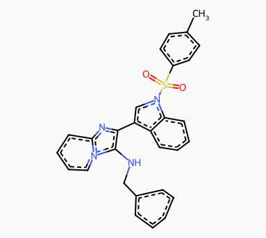 Cc1ccc(S(=O)(=O)n2cc(-c3nc4ccccn4c3NCc3ccccc3)c3ccccc32)cc1